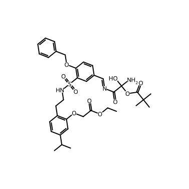 CCOC(=O)COc1cc(C(C)C)ccc1CCNS(=O)(=O)c1cc(C=NC(=O)C(N)(O)OC(=O)C(C)(C)C)ccc1OCc1ccccc1